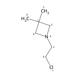 CC1(C)CN(CCCl)C1